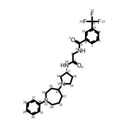 O=C(CNC(=O)c1cccc(C(F)(F)F)c1)N[C@@H]1CCN(C2CCCN(c3ccccc3)CC2)C1